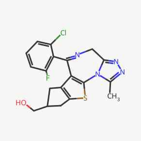 Cc1nnc2n1-c1sc3c(c1C(c1c(F)cccc1Cl)=NC2)CC(CO)C3